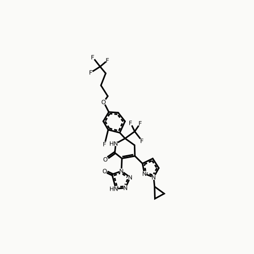 O=C1NC(c2ccc(OCCCC(F)(F)F)cc2F)(C(F)(F)F)CC(c2ccn(C3CC3)n2)=C1n1nn[nH]c1=O